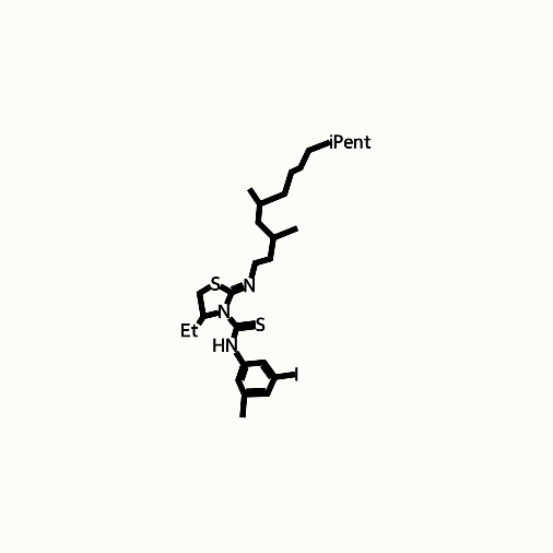 CCCC(C)CCCCC(C)CC(C)CCN=C1SCC(CC)N1C(=S)Nc1cc(C)cc(I)c1